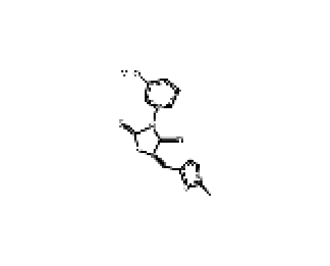 COc1cccc(N2C(=O)/C(=C\c3ccc(C)o3)SC2=S)c1